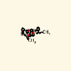 CCCCCCN(C(=O)c1ccccc1)c1ccc(F)[c]([Ti]([c]2c(F)ccc(N(CCCCCC)C(=O)c3ccccc3)c2F)([CH]2C=CC=C2)[CH]2C=CC=C2)c1F